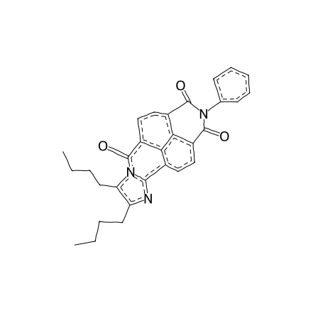 CCCCc1nc2c3ccc4c5c(ccc(c(=O)n2c1CCCC)c53)C(=O)N(c1ccccc1)C4=O